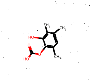 Cc1cc(C)c(OC(=O)O)c(O)c1C